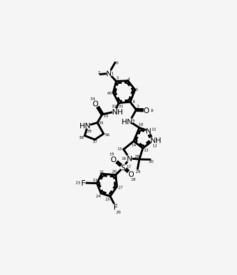 CN(C)c1ccc(C(=O)Nc2n[nH]c3c2CN(S(=O)(=O)c2cc(F)cc(F)c2)C3(C)C)c(NC(=O)C2CCCN2)c1